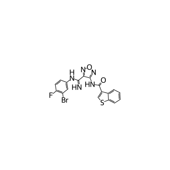 N=C(Nc1ccc(F)c(Br)c1)c1nonc1NC(=O)c1csc2ccccc12